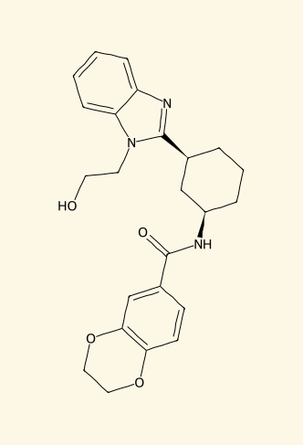 O=C(N[C@@H]1CCC[C@H](c2nc3ccccc3n2CCO)C1)c1ccc2c(c1)OCCO2